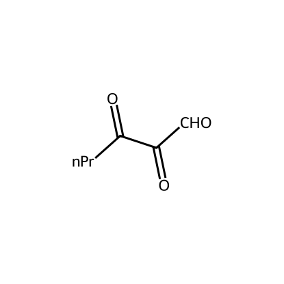 [CH2]CCC(=O)C(=O)C=O